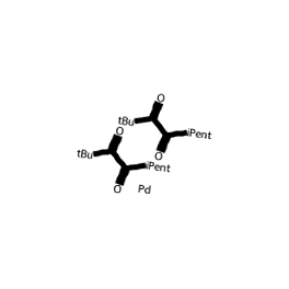 CCCC(C)C(=O)C(=O)C(C)(C)C.CCCC(C)C(=O)C(=O)C(C)(C)C.[Pd]